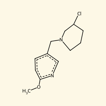 COc1ccc(CN2CCCC(Cl)C2)cn1